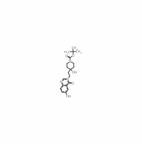 CC(C)(C)OC(=O)N1CCC(O)(CCn2cnc3ccc(O)cc3c2=O)CC1